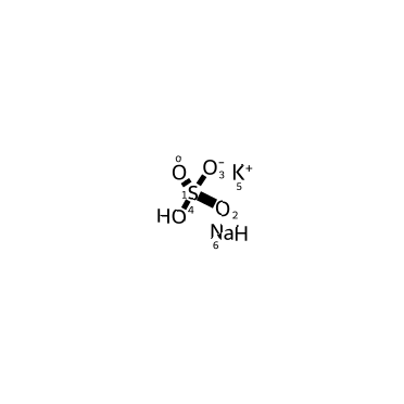 O=S(=O)([O-])O.[K+].[NaH]